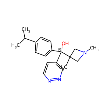 CC(C)c1ccc([C@](O)(c2ccnnc2)C2(C)CN(C)C2)cc1